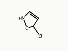 ClC1[C]=CNO1